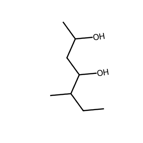 CCC(C)C(O)CC(C)O